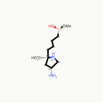 COB(O)CCCC[C@]1(C(=O)O)C[C@@H](N)CN1